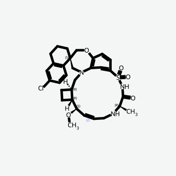 CO[C@@H]1/C=C\CN[C@H](C)C(=O)NS(=O)(=O)c2ccc3c(c2)N(C[C@@H]2CC[C@H]21)C[C@@]1(CCCc2cc(Cl)ccc21)CO3